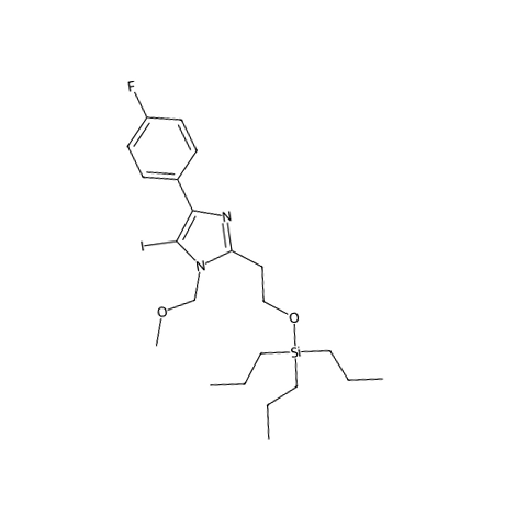 CCC[Si](CCC)(CCC)OCCc1nc(-c2ccc(F)cc2)c(I)n1COC